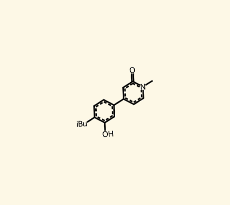 CCC(C)c1ccc(-c2ccn(C)c(=O)c2)cc1O